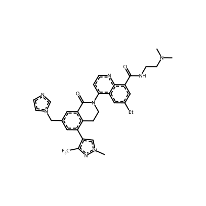 CCc1cc(C(=O)NCCN(C)C)c2nccc(N3CCc4c(cc(Cn5ccnc5)cc4-c4cn(C)nc4C(F)(F)F)C3=O)c2c1